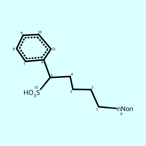 CCCCCCCCCCCCCC(c1ccccc1)S(=O)(=O)O